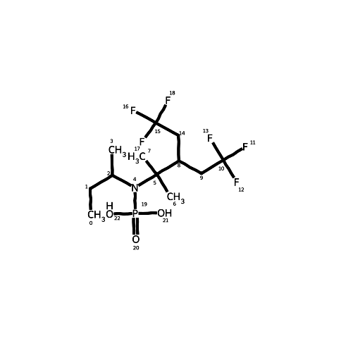 CCC(C)N(C(C)(C)C(CC(F)(F)F)CC(F)(F)F)P(=O)(O)O